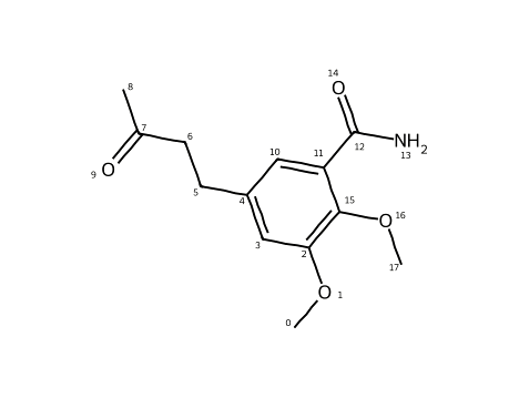 COc1cc(CCC(C)=O)cc(C(N)=O)c1OC